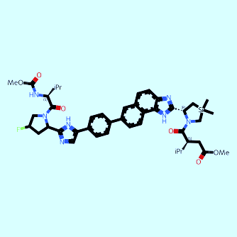 COC(=O)C[C@H](C(=O)N1C[Si](C)(C)C[C@H]1c1nc2ccc3cc(-c4ccc(-c5cnc(C6CC(F)CN6C(=O)[C@@H](NC(=O)OC)C(C)C)[nH]5)cc4)ccc3c2[nH]1)C(C)C